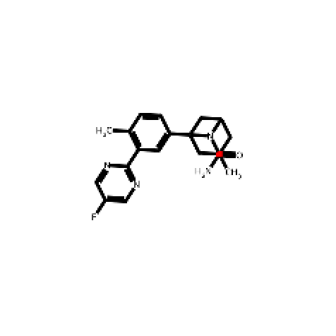 Cc1ccc(C23CC(C)CC(C2)N3C(N)=O)cc1-c1ncc(F)cn1